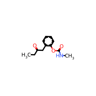 CCC(=O)Cc1ccccc1OC(=O)NC